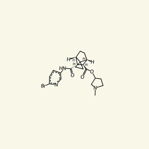 CN1CCC(OC(=O)[C@H]2[C@H](C(=O)Nc3ccc(Br)nc3)[C@@H]3CC[C@H]2C32CC2)C1